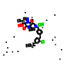 CCCCN1C(=O)[C@@H]([C@H](O)C(CC)CC)NC(=O)C12CCN(Cc1ccc(Cc3ccc(C(=O)O)cc3Cl)cc1)CC2.Cl